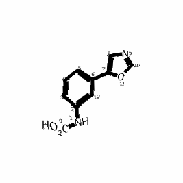 O=C(O)Nc1cccc(-c2cnco2)c1